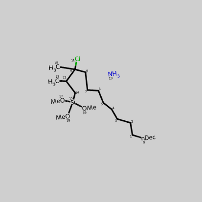 CCCCCCCCCCCCCCCCCCC(C)(Cl)C(C)C[Si](OC)(OC)OC.N